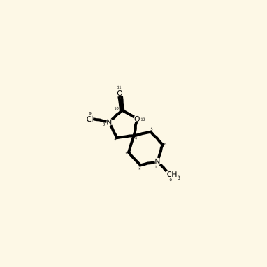 CN1CCC2(CC1)CN(Cl)C(=O)O2